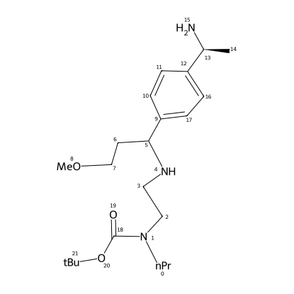 CCCN(CCNC(CCOC)c1ccc([C@H](C)N)cc1)C(=O)OC(C)(C)C